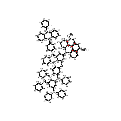 CC(C)(C)c1ccc(-c2ccccc2N(c2cc3c4c(c2)N(c2ccc(-c5c6ccccc6c(-c6ccccc6)c6ccccc56)cc2)c2ccccc2B4c2cc4c(cc2S3)N(c2ccccc2)c2cc(N(c3ccccc3)c3ccccc3)cc3c2B4c2ccccc2N3c2ccccc2)c2ccccc2-c2ccc(C(C)(C)C)cc2)cc1